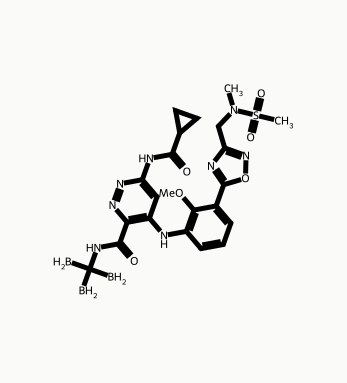 BC(B)(B)NC(=O)c1nnc(NC(=O)C2CC2)cc1Nc1cccc(-c2nc(CN(C)S(C)(=O)=O)no2)c1OC